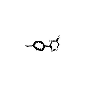 O=C1CON=C(c2ccc(Cl)cc2)N1